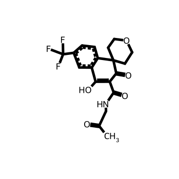 CC(=O)CNC(=O)C1=C(O)c2cc(C(F)(F)F)ccc2C2(CCOCC2)C1=O